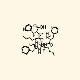 CCCC[C@](F)(NC(=O)[C@@H](N)Cc1cccnc1)C(=O)N[C@@H](Cc1ccccc1)C(=O)N[C@@](F)(CCCC)C(=O)N(C)[C@@H](Cc1cccnc1)C(=O)O